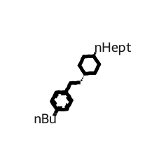 CCCCCCC[C@H]1CC[C@H](CCc2ccc(CCCC)cc2)CC1